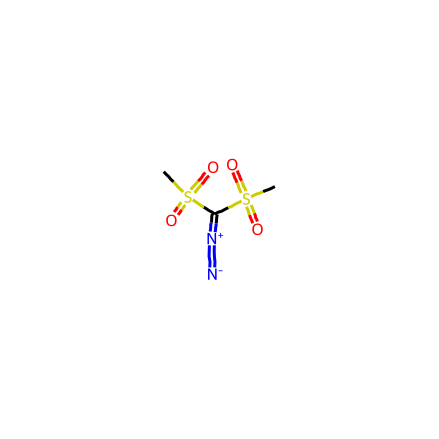 CS(=O)(=O)C(=[N+]=[N-])S(C)(=O)=O